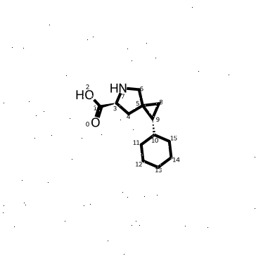 O=C(O)[C@@H]1CC2(CN1)C[C@@H]2C1CCCCC1